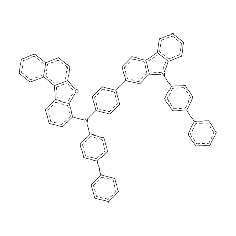 c1ccc(-c2ccc(N(c3ccc(-c4ccc5c6ccccc6n(-c6ccc(-c7ccccc7)cc6)c5c4)cc3)c3cccc4c3oc3ccc5ccccc5c34)cc2)cc1